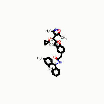 Cc1ccc([C@@H](NC(=O)Cc2ccc3oc([C@H](OC4(C(=O)O)CC4)c4c(C)noc4C)cc3c2)c2ccccc2)c(C)c1